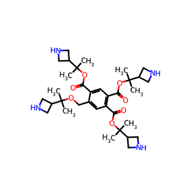 CC(C)(OCc1cc(C(=O)OC(C)(C)C2CNC2)c(C(=O)OC(C)(C)C2CNC2)cc1C(=O)OC(C)(C)C1CNC1)C1CNC1